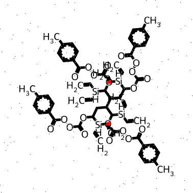 C=C[SiH](C=C)C(CC(C(CC(OC(=O)OOC(=O)c1ccc(C)cc1)[SiH](C=C)C=C)C(OC(=O)OOC(=O)c1ccc(C)cc1)[SiH](C=C)C=C)C(OC(=O)OOC(=O)c1ccc(C)cc1)[SiH](C=C)C=C)OC(=O)OOC(=O)c1ccc(C)cc1